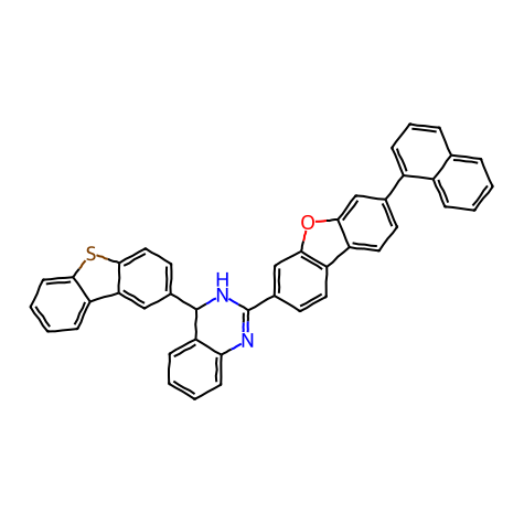 c1ccc2c(c1)N=C(c1ccc3c(c1)oc1cc(-c4cccc5ccccc45)ccc13)NC2c1ccc2sc3ccccc3c2c1